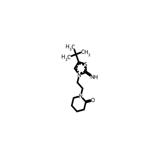 CC(C)(C)c1cn(CCN2CCCCC2=O)c(=N)s1